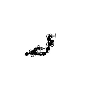 O=C(NO)c1ccc(Cn2c(=O)n(CCc3ccc(OCCN4CCC(COCCOc5ccc6c(c5)c(=O)n(CCc5ccccc5)c(=O)n6Cc5ccc(C(=O)NO)cc5)CC4)cc3)c(=O)c3ccccc32)cc1